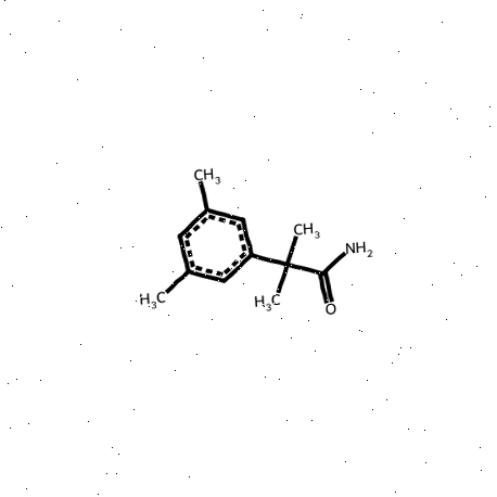 Cc1cc(C)cc(C(C)(C)C(N)=O)c1